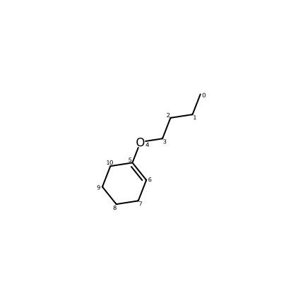 CCCCOC1=CCCCC1